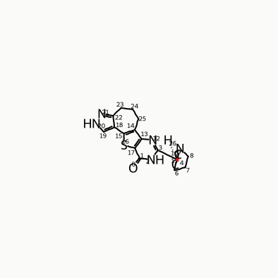 O=c1[nH]c([C@H]2CC3CCN2CC3)nc2c3c(sc12)-c1c[nH]nc1CCC3